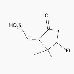 CCC1CC(=O)[C@@H](CS(=O)(=O)O)C1(C)C